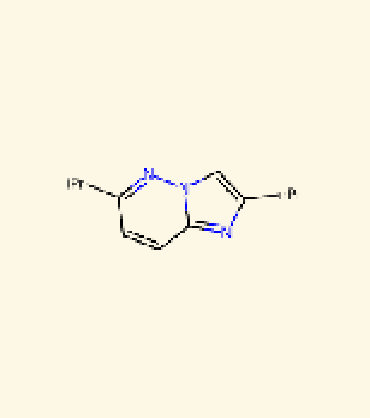 CCCc1cn2nc(C(C)C)ccc2n1